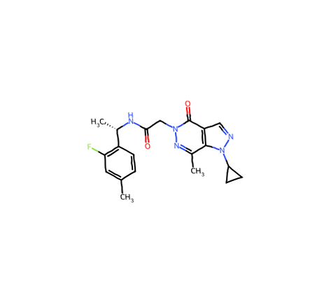 Cc1ccc([C@H](C)NC(=O)Cn2nc(C)c3c(cnn3C3CC3)c2=O)c(F)c1